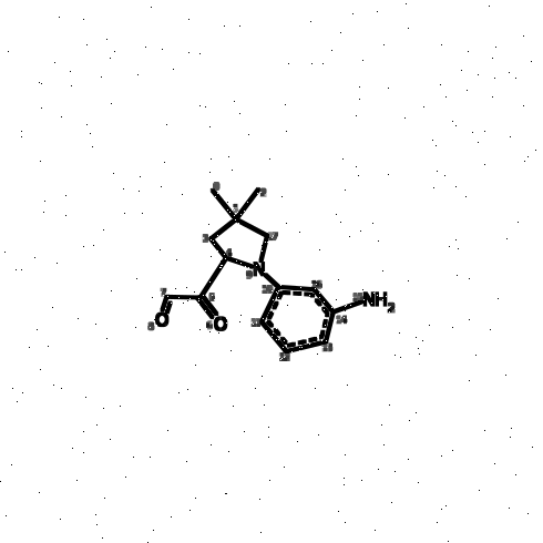 CC1(C)CC(C(=O)C=O)N(c2cccc(N)c2)C1